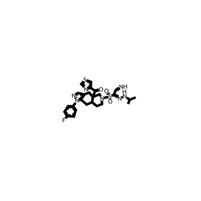 CC(C)N/N=C(\C=N)S(=O)(=O)N1CCC2Cc3c(cnn3-c3ccc(F)cc3)CC2(C(=O)c2cscn2)C1